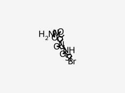 Cc1cc(N2CC(NC(=O)c3ccc(Br)s3)CC2=O)ccc1C(=O)N(C)C(N)=O